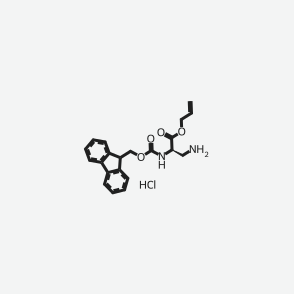 C=CCOC(=O)[C@@H](CN)NC(=O)OCC1c2ccccc2-c2ccccc21.Cl